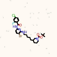 CC(C)(C)OC(=O)N1CCCC(CCCCCNc2nc(NC(=O)c3ccc(Cl)cc3F)ccc2Br)C1